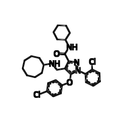 O=C(NC1CCCCC1)c1nn(-c2ccccc2Cl)c(Oc2ccc(Cl)cc2)c1CNC1CCCCCCC1